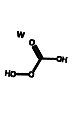 O=C(O)OO.[W]